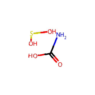 NC(=O)O.OSO